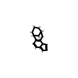 C1=CC2C(=C1)C=CC1=C2CC2CCCC1C2